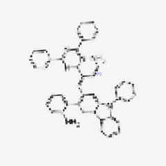 N/C=C\C(=Cc1cc2c(cc1-c1ccccc1N)c1ccccc1n2-c1ccccc1)c1nc(-c2ccccc2)nc(-c2ccccc2)n1